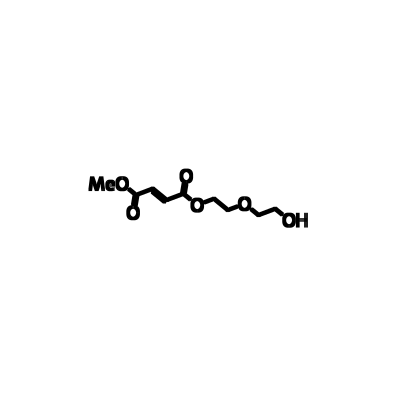 COC(=O)/C=C/C(=O)OCCOCCO